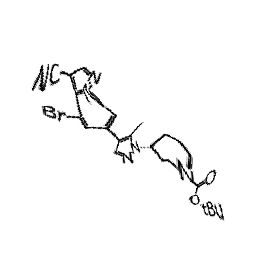 Cc1c(-c2cc(Br)c3c(C#N)cnn3c2)cnn1[C@@H]1CCN(C(=O)OC(C)(C)C)C1